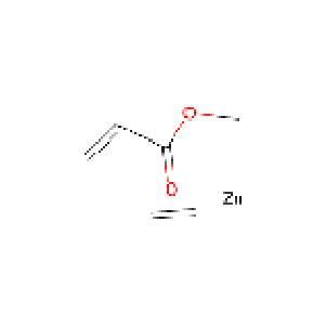 C=C.C=CC(=O)OC.[Zn]